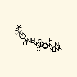 CC(C)(C)OC(=O)N1CCC(C(=O)NCCCNC(=O)c2ccc(Nc3nccn4c(I)cnc34)cc2Cl)CC1